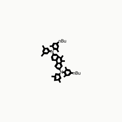 CCCCc1cc(C)c(N(c2cc(C)cc(C)c2)c2ccc3c(c2)c(C)c(C)c2cc(N(c4cc(C)cc(C)c4)c4c(C)cc(CCCC)cc4C)ccc23)c(C)c1